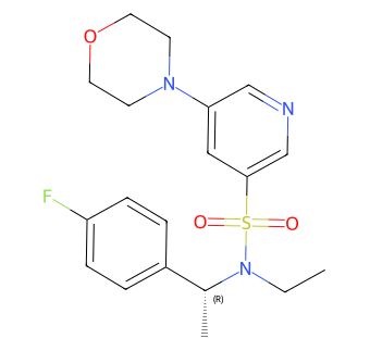 CCN([C@H](C)c1ccc(F)cc1)S(=O)(=O)c1cncc(N2CCOCC2)c1